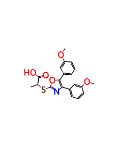 COc1cccc(-c2nc(SC(C)C(=O)O)oc2-c2cccc(OC)c2)c1